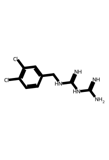 N=C(N)NC(=N)NCc1ccc(Cl)c(Cl)c1